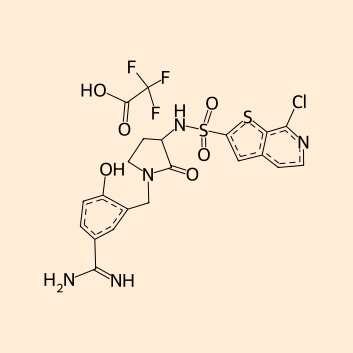 N=C(N)c1ccc(O)c(CN2CCC(NS(=O)(=O)c3cc4ccnc(Cl)c4s3)C2=O)c1.O=C(O)C(F)(F)F